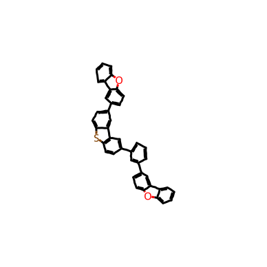 c1cc(-c2ccc3oc4ccccc4c3c2)cc(-c2ccc3sc4ccc(-c5ccc6oc7ccccc7c6c5)cc4c3c2)c1